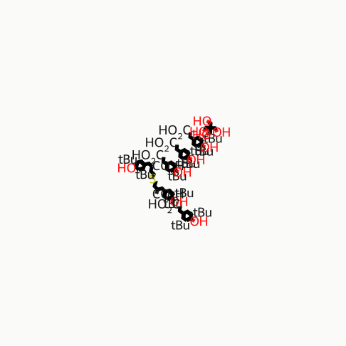 CC(C)(C)c1cc(CC(CCSCCC(Cc2cc(C(C)(C)C)c(O)c(C(C)(C)C)c2)C(=O)O)C(=O)O)cc(C(C)(C)C)c1O.CC(C)(C)c1cc(CCC(=O)O)cc(C(C)(C)C)c1O.CC(C)(C)c1cc(CCC(=O)O)cc(C(C)(C)C)c1O.CC(C)(C)c1cc(CCC(=O)O)cc(C(C)(C)C)c1O.CC(C)(C)c1cc(CCC(=O)O)cc(C(C)(C)C)c1O.OCC(CO)(CO)CO